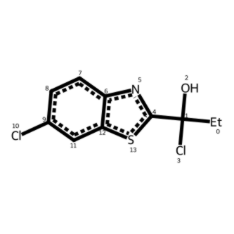 CCC(O)(Cl)c1nc2ccc(Cl)cc2s1